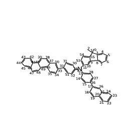 CC1(C)c2ccccc2-c2cc(N(c3ccc(-c4ccc5ccccc5c4)cc3)c3ccc(-c4ccc5c(ccc6c7ccccc7ccc56)c4)cc3)ccc21